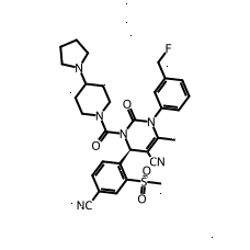 CC1=C(C#N)[C@@H](c2ccc(C#N)cc2S(C)(=O)=O)N(C(=O)N2CCC(N3CCCC3)CC2)C(=O)N1c1cccc(CF)c1